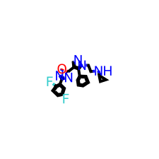 Fc1ccc(F)c(-c2noc(-c3cnn(CCNC4CC4)c3-c3ccccc3)n2)c1